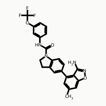 Cc1cc(-c2ccc3c(c2)CCN3C(=O)Nc2cccc(OC(F)(F)F)c2)c2c(N)noc2c1